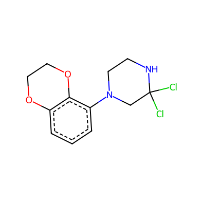 ClC1(Cl)CN(c2cccc3c2OCCO3)CCN1